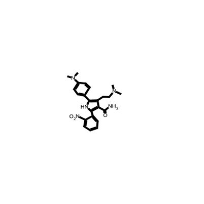 CN(C)CCc1c(-c2ccc(N(C)C)cc2)[nH]c(-c2ccccc2[N+](=O)[O-])c1C(N)=O